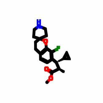 COC(=O)[C@H](C)[C@H](c1ccc2c(c1F)OC1(CCNCC1)CC2)C1CC1